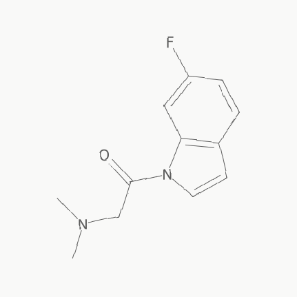 CN(C)CC(=O)n1ccc2ccc(F)cc21